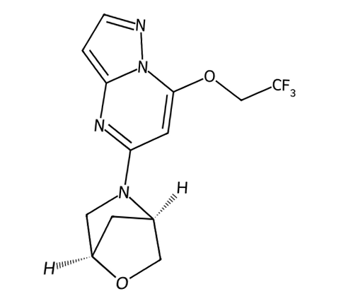 FC(F)(F)COc1cc(N2C[C@H]3C[C@@H]2CO3)nc2ccnn12